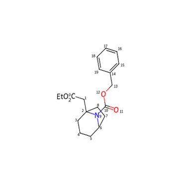 CCOC(=O)CC12CCCC(CC1)N2C(=O)OCc1ccccc1